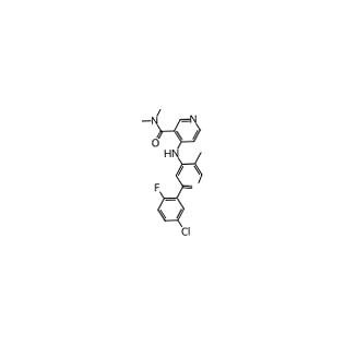 C=C(/C=C(Nc1ccncc1C(=O)N(C)C)\C(C)=C/C)c1cc(Cl)ccc1F